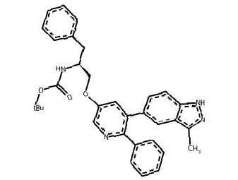 Cc1n[nH]c2ccc(-c3cc(OC[C@H](Cc4ccccc4)NC(=O)OC(C)(C)C)cnc3-c3ccccc3)cc12